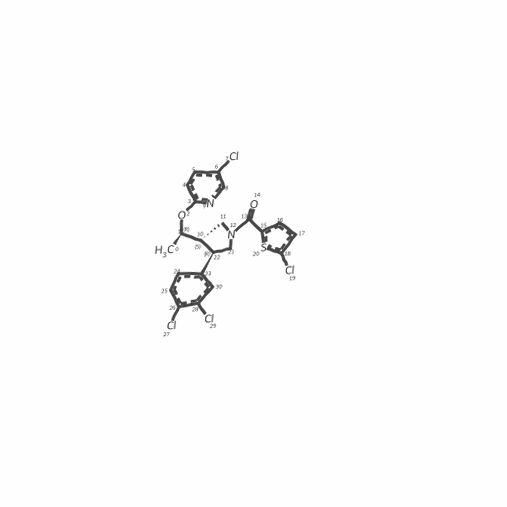 C[C@@H](Oc1ccc(Cl)cn1)[C@@H]1CN(C(=O)c2ccc(Cl)s2)C[C@H]1c1ccc(Cl)c(Cl)c1